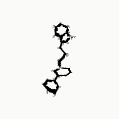 c1ccc(C2CCCN(CCCc3c[nH]c4ccccc34)C2)cc1